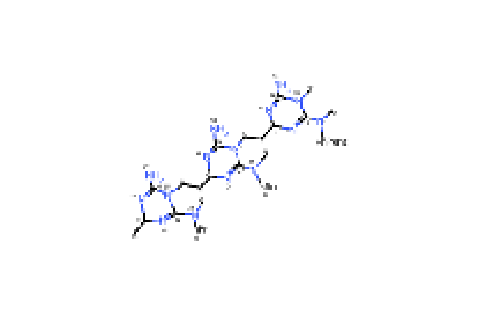 CCCCCN(C)C1=NC(CCN2C(N)=NC(CCN3C(N)=NC(C)N=C3N(C)CCC)N=C2N(C)CCCC)N=C(N)N1C